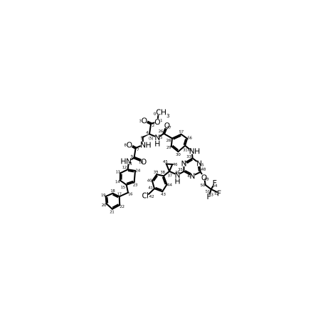 COC(=O)[C@H](CNC(=O)C(=O)Nc1ccc(Cc2ccccc2)cc1)NC(=O)c1ccc(Nc2nc(NC3(c4ccc(Cl)cc4)CC3)nc(OCC(F)(F)F)n2)cc1